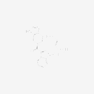 Cn1cc(C(=O)[C@@H]2CCc3nc[nH]c3C2)c2ccccc21.O=C(O)C=CC(=O)O